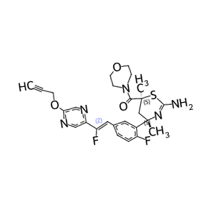 C#CCOc1cnc(/C(F)=C/c2ccc(F)c([C@]3(C)C[C@@](C)(C(=O)N4CCOCC4)SC(N)=N3)c2)cn1